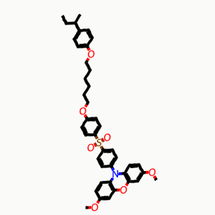 CCC(C)c1ccc(OCCCCCCOc2ccc(S(=O)(=O)c3ccc(N4c5ccc(OC)cc5Oc5cc(OC)ccc54)cc3)cc2)cc1